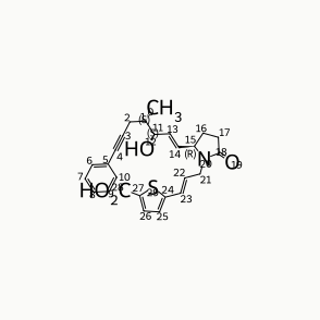 C[C@@H](CC#Cc1ccccc1)[C@H](O)C=C[C@H]1CCC(=O)N1CC=Cc1ccc(C(=O)O)s1